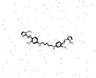 Cc1cc(NCCCCCNc2ccc(/N=N/c3scc[n+]3C)c(C)c2)ccc1/N=N/c1scc[n+]1C